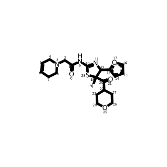 O=C(CN1CC=CCC1)NC1=NC(c2ccco2)C(I)(C(=O)C2CCOCC2)S1